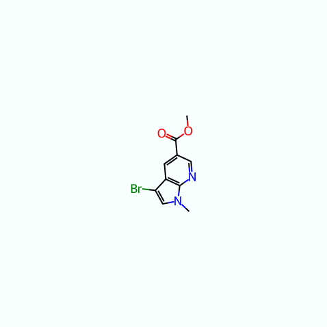 COC(=O)c1cnc2c(c1)c(Br)cn2C